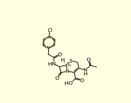 CC(=O)NC1=C(C(=O)O)N2C(=O)C(NC(=O)Cc3ccc(Cl)cc3)[C@H]2SC1